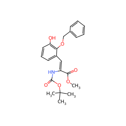 COC(=O)/C(=C/c1cccc(O)c1OCc1ccccc1)NC(=O)OC(C)(C)C